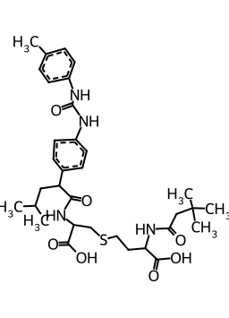 Cc1ccc(NC(=O)Nc2ccc(C(CC(C)C)C(=O)NC(CSCCC(NC(=O)CC(C)(C)C)C(=O)O)C(=O)O)cc2)cc1